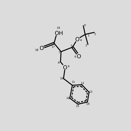 CC(C)(C)OC(=O)C(COCc1ccccc1)C(=O)O